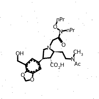 CCCON(CCC)C(=O)CN1C[C@H](c2cc(CO)c3c(c2)OCO3)[C@@H](C(=O)O)[C@@H]1CCN(C)C(C)=O